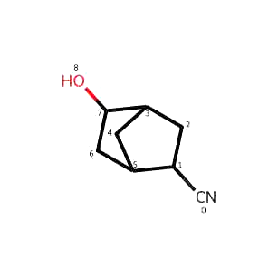 N#CC1CC2CC1CC2O